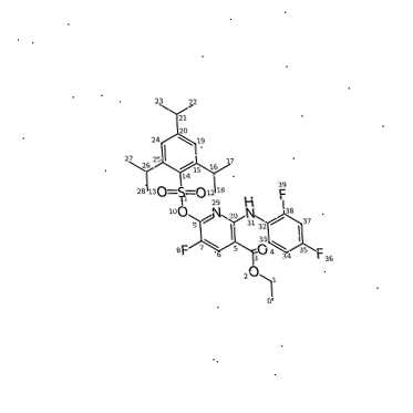 CCOC(=O)c1cc(F)c(OS(=O)(=O)c2c(C(C)C)cc(C(C)C)cc2C(C)C)nc1Nc1ccc(F)cc1F